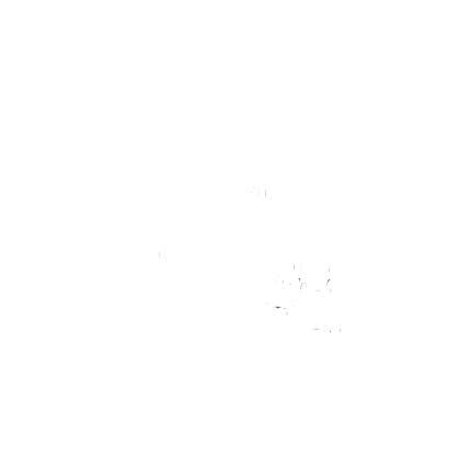 CCCOc1cc(C)ccc1O[C@@H]1[C@@H]2CC[C@H]1CNC2